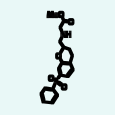 COC(=O)CNCC1CCc2ccc(S(=O)(=O)c3ccccc3)cc2O1